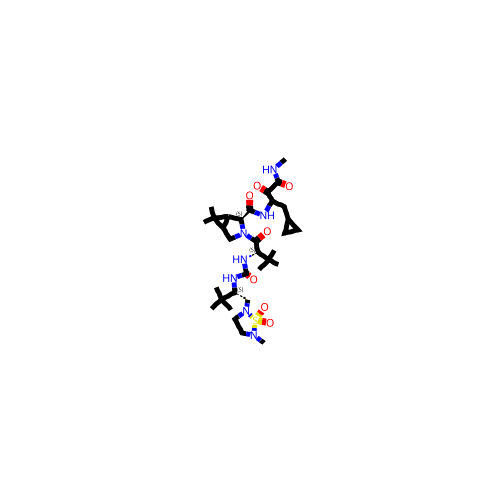 CNC(=O)C(=O)C(CC1CC1)NC(=O)[C@@H]1C2C(CN1C(=O)[C@@H](NC(=O)N[C@H](CN1CCN(C)S1(=O)=O)C(C)(C)C)C(C)(C)C)C2(C)C